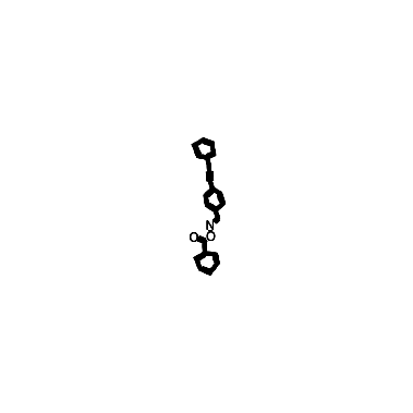 O=C(ON=Cc1ccc(C#Cc2ccccc2)cc1)c1ccccc1